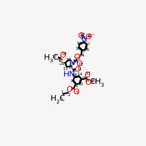 C=CCOC(=O)c1cc(NC(=O)[C@@H]2C[C@H](SC(C)=O)CN2C(=O)OCc2ccc([N+](=O)[O-])cc2)cc(C(=O)OC)c1